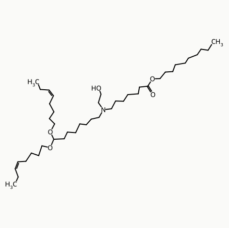 CC/C=C\CCCCOC(CCCCCCCN(CCO)CCCCCCC(=O)OCCCCCCCCCC)OCCCC/C=C\CC